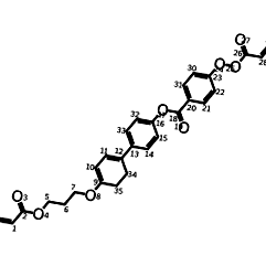 C=CC(=O)OCCCOC1=CC=C(c2ccc(OC(=O)c3ccc(OOC(=O)C=C)cc3)cc2)CC1